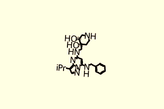 CC(C)c1cnn2c(NCc3ccccc3)cc(NC[C@]3(O)CCNC[C@H]3O)nc12